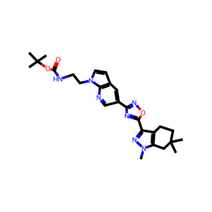 Cn1nc(-c2nc(-c3cnc4c(ccn4CCNC(=O)OC(C)(C)C)c3)no2)c2c1CC(C)(C)CC2